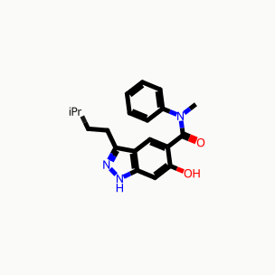 CC(C)CCc1n[nH]c2cc(O)c(C(=O)N(C)c3ccccc3)cc12